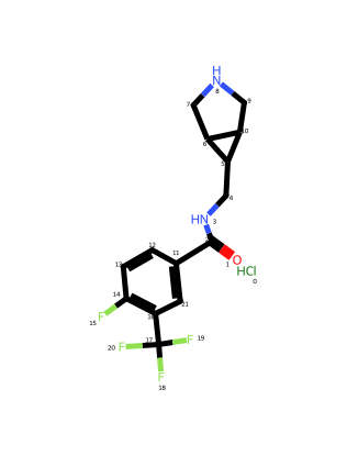 Cl.O=C(NCC1C2CNCC21)c1ccc(F)c(C(F)(F)F)c1